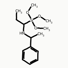 CCC(NC(C)c1ccccc1)[Si](OC)(OC)OC